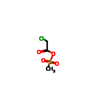 CS(=O)(=O)OC(=O)CCl